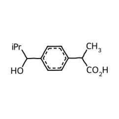 CC(C(=O)O)c1ccc(C(O)C(C)C)cc1